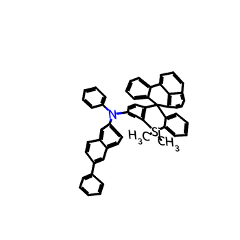 C[Si]1(C)c2ccccc2C2(c3ccccc3-c3cccc4cccc2c34)c2ccc(N(c3ccccc3)c3ccc4cc(-c5ccccc5)ccc4c3)cc21